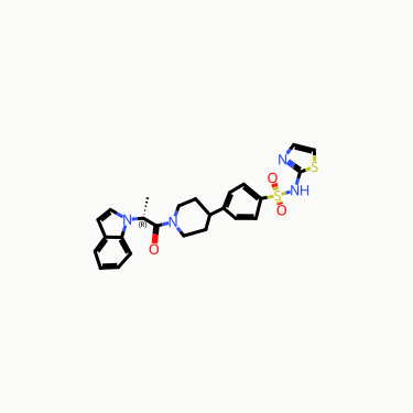 C[C@H](C(=O)N1CCC(c2ccc(S(=O)(=O)Nc3nccs3)cc2)CC1)n1ccc2ccccc21